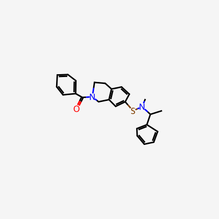 CC(c1ccccc1)N(C)Sc1ccc2c(c1)CN(C(=O)c1ccccc1)CC2